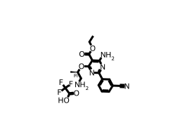 CCOC(=O)c1c(N)nc(-c2cccc(C#N)c2)nc1O[C@H](C)CN.O=C(O)C(F)(F)F